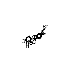 CN(CCBr)c1ccc2c(c1)CN(C1CCC(=O)NC1=O)C2=O